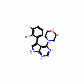 Fc1cccc(-c2c[nH]c3ncnc(N4CCOCC4)c23)c1F